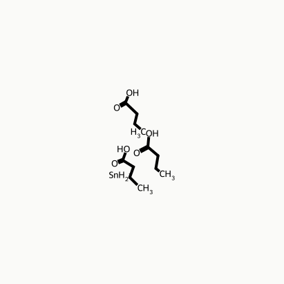 CCCC(=O)O.CCCC(=O)O.CCCC(=O)O.[SnH2]